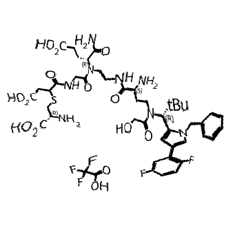 CC(C)(C)[C@H](c1cc(-c2cc(F)ccc2F)cn1Cc1ccccc1)N(CC[C@H](N)C(=O)NCCN(C(=O)CNC(=O)C(CC(=O)O)SC[C@H](N)C(=O)O)[C@H](CCC(=O)O)C(N)=O)C(=O)CO.O=C(O)C(F)(F)F